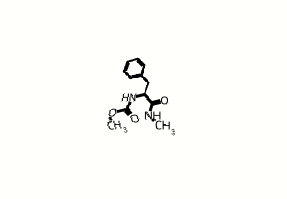 CNC(=O)[C@H](Cc1ccccc1)NC(=O)OC